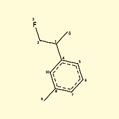 [CH2]C(CF)c1cccc(C)c1